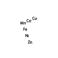 [Co].[Cu].[Fe].[Mn].[Ni].[Zn]